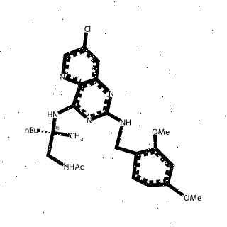 CCCC[C@](C)(CNC(C)=O)Nc1nc(NCc2ccc(OC)cc2OC)nc2cc(Cl)cnc12